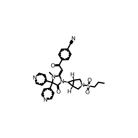 CCCS(=O)(=O)N1C[C@@H]2[C@H](C1)[C@H]2N1C(=O)C(c2ccncc2)(c2ccncc2)N(C)C1=CC(=O)c1ccc(C#N)cc1